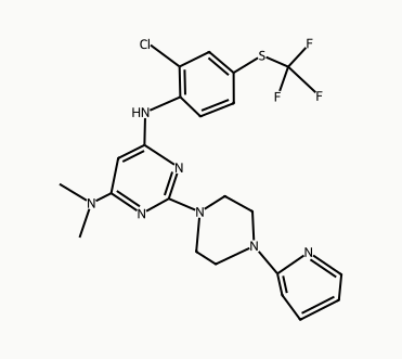 CN(C)c1cc(Nc2ccc(SC(F)(F)F)cc2Cl)nc(N2CCN(c3ccccn3)CC2)n1